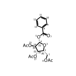 CC(=O)OC[C@H]1O[C@@H](OC(=O)c2ccccc2)[C@H](OC(C)=O)[C@H]1OC(C)=O